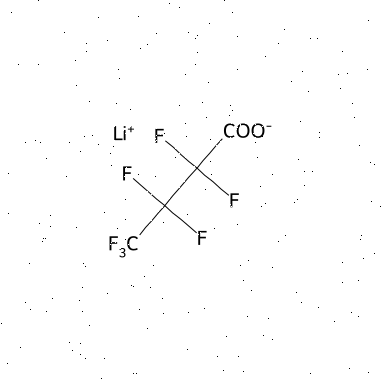 O=C([O-])C(F)(F)C(F)(F)C(F)(F)F.[Li+]